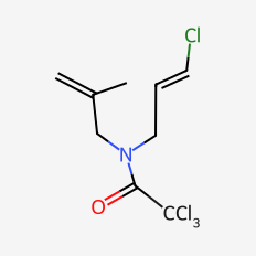 C=C(C)CN(CC=CCl)C(=O)C(Cl)(Cl)Cl